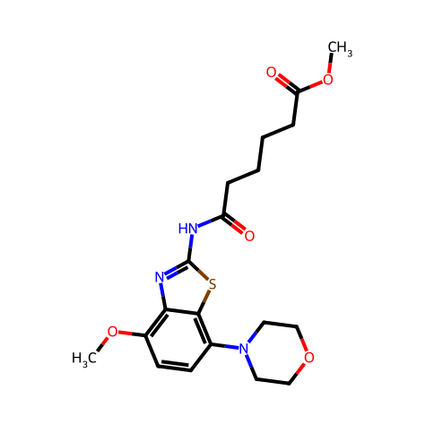 COC(=O)CCCCC(=O)Nc1nc2c(OC)ccc(N3CCOCC3)c2s1